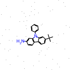 CC(C)(C)c1ccc2c3ccc(N)cc3n(-c3ccccc3)c2c1